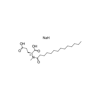 CCCCCCCCCCCCCC(=O)N(C)[C@@H](CCC(=O)O)C(=O)O.[NaH]